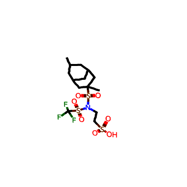 CC1CC2CC(C1)CC(C)(S(=O)(=O)N(CCS(=O)(=O)O)S(=O)(=O)C(F)(F)F)C2